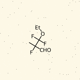 CCOC(F)(F)C(C)(F)C=O